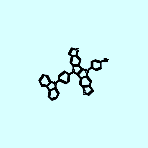 Brc1ccc(-n2c3cc4ccsc4cc3c3c2c2cc4sccc4cc2n3-c2ccc(-n3c4ccccc4c4ccccc43)cc2)cc1